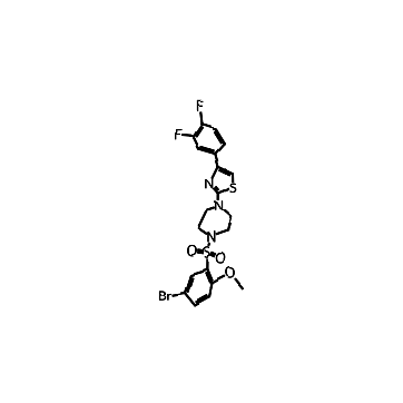 COc1ccc(Br)cc1S(=O)(=O)N1CCN(c2nc(-c3ccc(F)c(F)c3)cs2)CC1